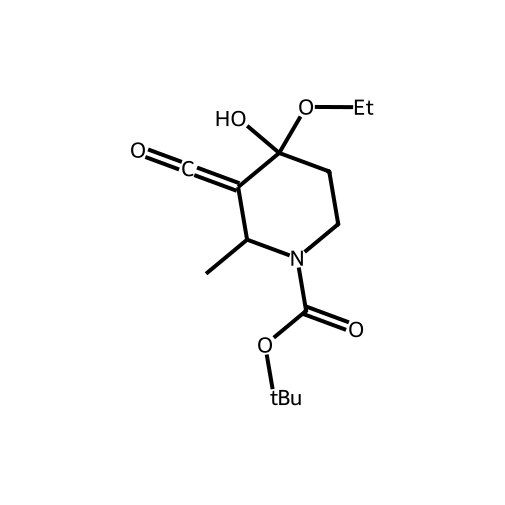 CCOC1(O)CCN(C(=O)OC(C)(C)C)C(C)C1=C=O